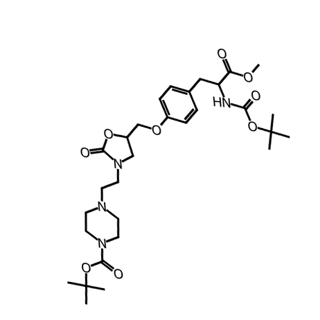 COC(=O)C(Cc1ccc(OCC2CN(CCN3CCN(C(=O)OC(C)(C)C)CC3)C(=O)O2)cc1)NC(=O)OC(C)(C)C